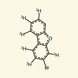 [2H]c1cc2oc3c([2H])c(Br)c([2H])c([2H])c3c2c([2H])c1[2H]